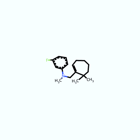 CN(CC1=CCCCCC1(C)C)c1cccc(F)c1